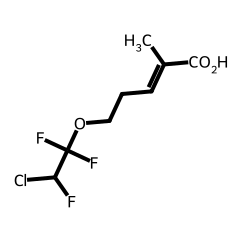 CC(=CCCOC(F)(F)C(F)Cl)C(=O)O